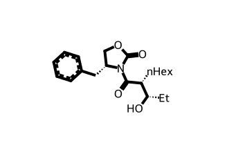 CCCCCC[C@@H](C(=O)N1C(=O)OC[C@H]1Cc1ccccc1)[C@@H](O)CC